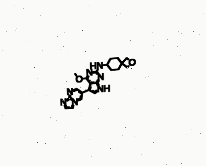 COc1nc(NC2CCC3(CC2)COC3)nc2[nH]cc(-c3cnc4nccn4c3)c12